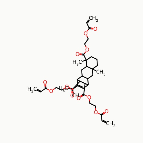 C=CC(=O)OCCOC(=O)C1C2C=C(C(C)C)C(C3CC4C(C)(CCCC4(C)C(=O)OCCOC(=O)C=C)CC23)C1C(=O)OCCOC(=O)C=C